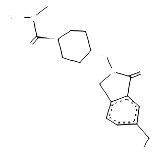 CON(C)C(=O)[C@H]1CC[C@H](CN2Cc3ccc(CO)cc3C2=O)CC1